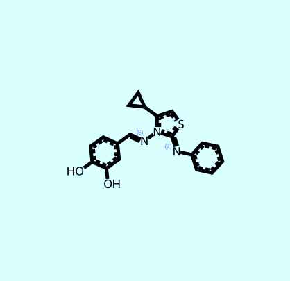 Oc1ccc(/C=N/n2c(C3CC3)cs/c2=N\c2ccccc2)cc1O